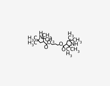 CC1(C)CC(C(=O)OCCCOC(=O)C2CC(C)(C)NC2(C)C)C(C)(C)N1